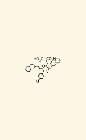 CC(C(CC=Cc1ccc2ccccc2c1)c1ccc(Cl)cc1)N(Cc1ccc2ccccc2c1)C(=O)CC(CC(=O)O)C(=O)O